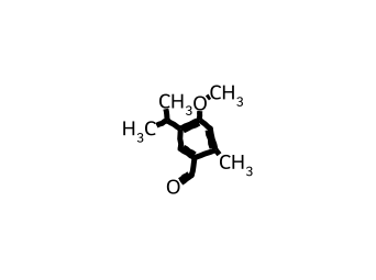 COc1cc(C)c(C=O)cc1C(C)C